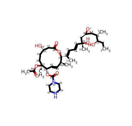 CC[C@@H](O)[C@@H](C)[C@H]1O[C@@H]1C[C@](C)(O)/C=C/C=C(\C)[C@H]1OC(=O)C[C@@H](O)CC[C@](C)(OC(C)=O)[C@@H](OC(=O)N2CCNCC2)/C=C/[C@@H]1C